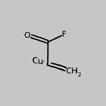 C=CC(=O)F.[Cu]